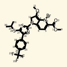 COC(=O)C1=CC=C2C(=C(OC)CN2c2nc(-c3ccc(C(F)(F)F)cc3)c(SC(C)C)s2)N1Br